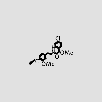 C#CCOc1ccc(CCNC(=O)C(OC)c2ccc(Cl)cc2)cc1OC